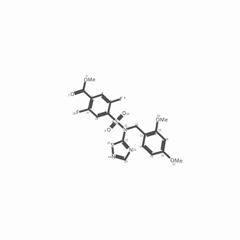 COC(=O)c1cc(F)c(S(=O)(=O)N(Cc2ccc(OC)cc2OC)c2ncns2)cc1F